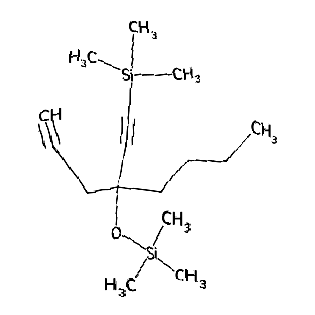 C#CCC(C#C[Si](C)(C)C)(CCCC)O[Si](C)(C)C